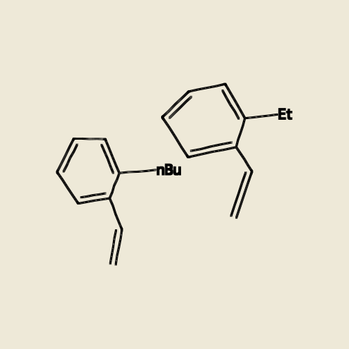 C=Cc1ccccc1CC.C=Cc1ccccc1CCCC